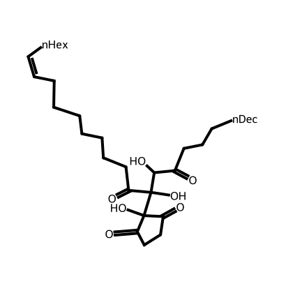 CCCCCC/C=C\CCCCCCCC(=O)C(O)(C(O)C(=O)CCCCCCCCCCCCC)C1(O)C(=O)CCC1=O